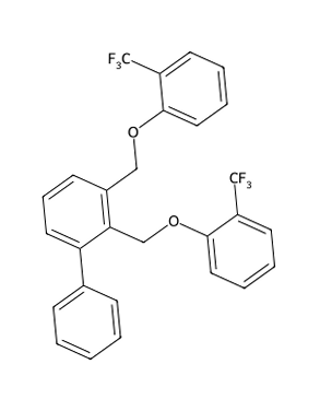 FC(F)(F)c1ccccc1OCc1cccc(-c2ccccc2)c1COc1ccccc1C(F)(F)F